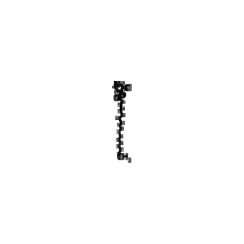 CCCCCCCCCCCCCCCCCC(=O)Oc1c[c]ncc1Cl